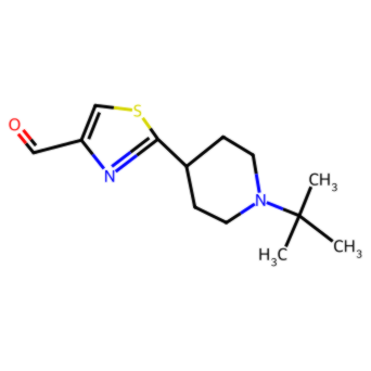 CC(C)(C)N1CCC(c2nc(C=O)cs2)CC1